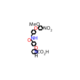 COc1cc([N+](=O)[O-])ccc1Oc1ccc(CNC(=O)c2ccc(O[C@]34CCC[C@H](CC3)N4C(=O)O)cc2)cc1